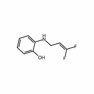 Oc1ccccc1NCC=C(F)F